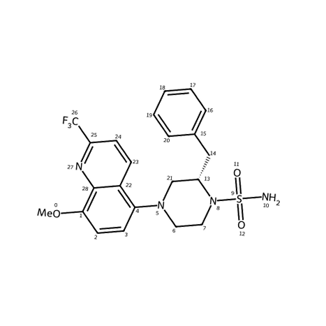 COc1ccc(N2CCN(S(N)(=O)=O)[C@@H](Cc3ccccc3)C2)c2ccc(C(F)(F)F)nc12